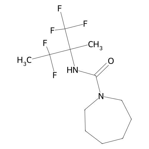 CC(F)(F)C(C)(NC(=O)N1CCCCCC1)C(F)(F)F